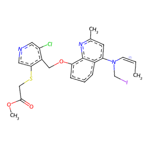 C/C=C\N(CI)c1cc(C)nc2c(OCc3c(Cl)cncc3SCC(=O)OC)cccc12